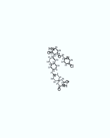 O=C1CC2(CCN(Cc3ccc4c(c3)CCC(c3c(OCc5ccc(Cl)cn5)cc[nH]c3=O)=C4)CC2)CC(=O)N1